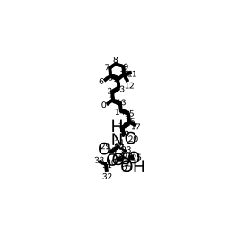 CC(C=CC1=C(C)CCCC1(C)C)=CC=CC(C)=CC(=O)N[C@@H](CS(=O)(=O)O)C(=O)OC(C)C